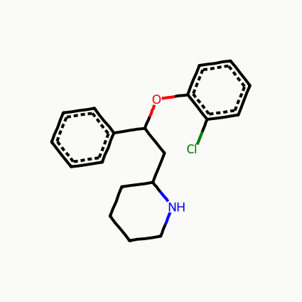 Clc1ccccc1OC(CC1CCCCN1)c1ccccc1